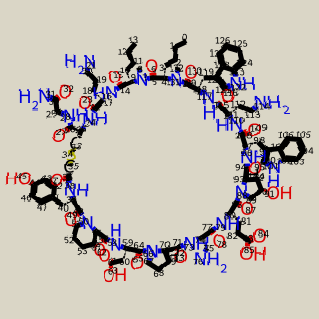 CCCC[C@H]1C(=O)N(C)[C@@H](CCCC)C(=O)N[C@@H](CCCN)C(=O)N[C@H](C(=O)NCC(N)=O)CSCC(=O)N[C@@H](Cc2ccc(O)cc2)C(=O)N2CCCCC2C(=O)N[C@@H](CC(=O)O)C(=O)N2CCC[C@H]2C(=O)N[C@@H](CN)C(=O)N[C@@H](CCC(=O)O)C(=O)N2C[C@H](O)C[C@H]2C(=O)N[C@@H](Cc2c[nH]c3ccccc23)C(=O)N[C@@H](CCN)C(=O)N[C@@H](Cc2c[nH]c3ccccc23)C(=O)N1C